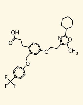 Cc1oc(C2CCCCC2)nc1CCOc1ccc(CCC(=O)O)c(COc2ccc(C(F)(F)F)cc2)c1